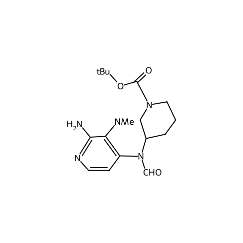 CNc1c(N(C=O)C2CCCN(C(=O)OC(C)(C)C)C2)ccnc1N